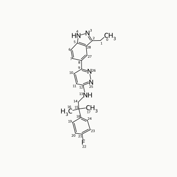 CCc1n[nH]c2ccc(-c3ccc(NCC(C)(C)c4ccc(F)cc4)nn3)cc12